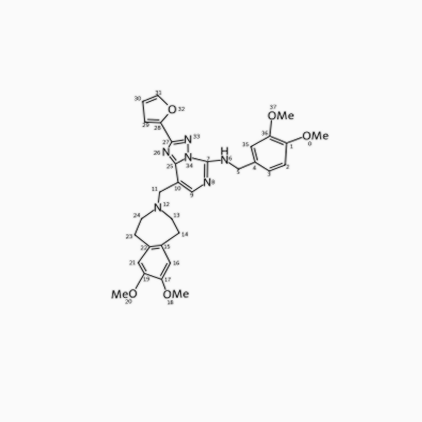 COc1ccc(CNc2ncc(CN3CCc4cc(OC)c(OC)cc4CC3)c3nc(-c4ccco4)nn23)cc1OC